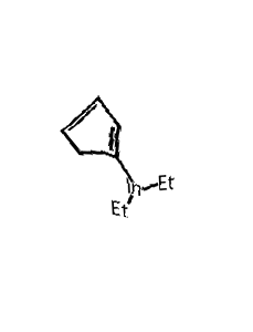 C[CH2][In]([CH2]C)[C]1=CC=CC1